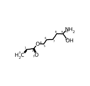 C=CC(=O)OCCCCC(N)O